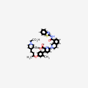 Cc1cc(OC(C)CCC2CCN(CC(=O)O)CC2)ccc1-c1ccc(N2CCc3cccc(C(=O)Nc4nc5ccccc5s4)c3C2)nc1C(=O)OC(C)(C)C